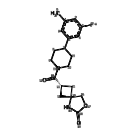 Cc1cc(F)cc(C2CCN(C(=O)[C@H]3C[C@]4(COC(=O)N4)C3)CC2)c1